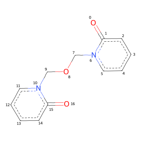 O=c1ccccn1COCn1ccccc1=O